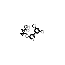 CN(C(=O)O)C1(COc2cncc(-c3cc(Cl)cc(Cl)c3)c2)CC1